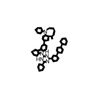 C=C1/C=C\C=C/CN(c2ccccc2)c2ccc(-c3ccc4c(c3)c3ccccc3n4C3NC(c4ccccc4)=NC(c4cccc(-c5ccc(-c6ccccc6)cc5)c4)N3)cc21